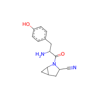 N#CC1CC2CC2N1C(=O)C(N)Cc1ccc(O)cc1